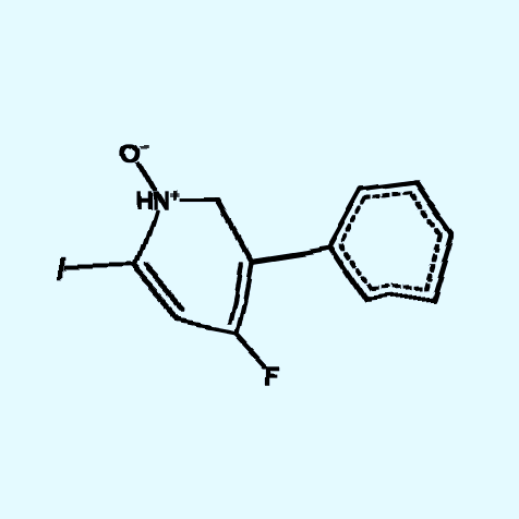 [O-][NH+]1CC(c2ccccc2)=C(F)C=C1I